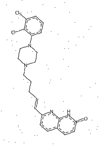 O=c1ccc2ccc(C=CCCCN3CCN(c4cccc(Cl)c4Cl)CC3)nc2[nH]1